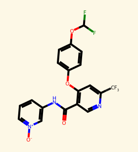 O=C(Nc1ccc[n+]([O-])c1)c1cnc(C(F)(F)F)cc1Oc1ccc(OC(F)F)cc1